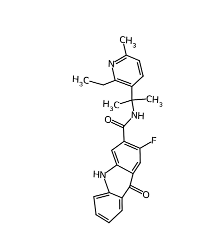 CCc1nc(C)ccc1C(C)(C)NC(=O)c1cc2[nH]c3ccccc3c(=O)c2cc1F